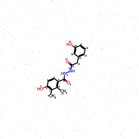 Cc1c(O)ccc(C(=O)NNC(=O)Cc2cccc(O)c2)c1C